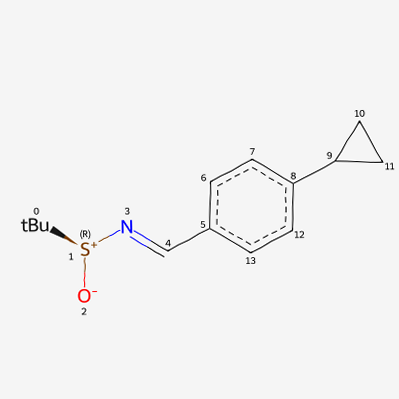 CC(C)(C)[S@+]([O-])N=Cc1ccc(C2CC2)cc1